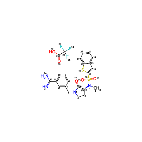 CN([C@H]1CCN(Cc2cccc(C(=N)N)c2)C1=O)S(=O)(=O)c1cc2ccccc2s1.O=C(O)C(F)(F)F